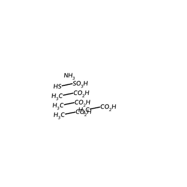 CC(=O)O.CC(=O)O.CC(=O)O.CC(=O)O.N.O=S(=O)(O)S